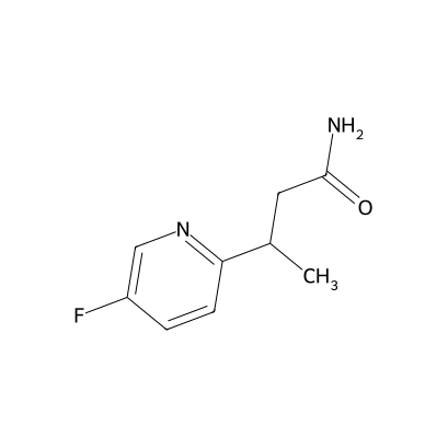 CC(CC(N)=O)c1ccc(F)cn1